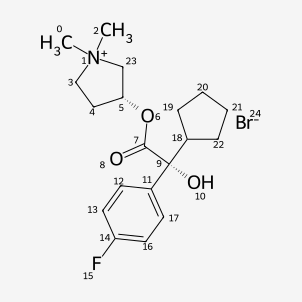 C[N+]1(C)CC[C@@H](OC(=O)[C@](O)(c2ccc(F)cc2)C2CCCC2)C1.[Br-]